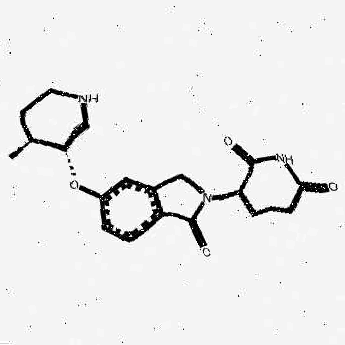 C[C@H]1CCNC[C@@H]1Oc1ccc2c(c1)CN(C1CCC(=O)NC1=O)C2=O